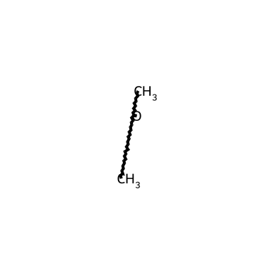 CCCCCCCCCCCCCCCCCCCCCCCCCCC(=O)CCCCCCCCCC